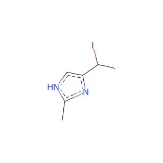 Cc1nc(C(C)I)c[nH]1